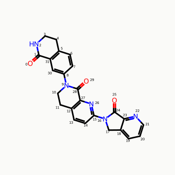 O=C1NCCc2ccc(N3CCc4ccc(N5Cc6cccnc6C5=O)nc4C3=O)cc21